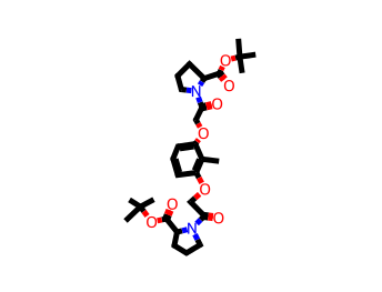 Cc1c(OCC(=O)N2CCCC2C(=O)OC(C)(C)C)cccc1OCC(=O)N1CCCC1C(=O)OC(C)(C)C